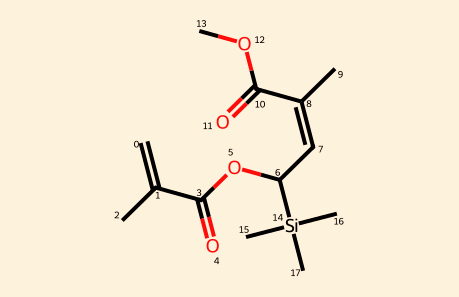 C=C(C)C(=O)OC(C=C(C)C(=O)OC)[Si](C)(C)C